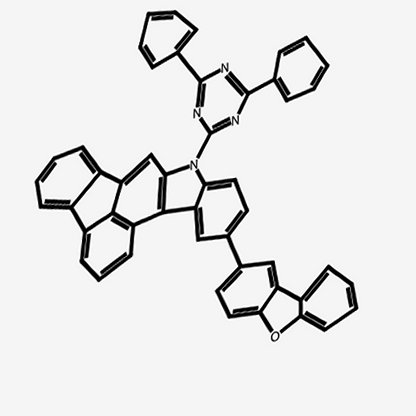 c1ccc(-c2nc(-c3ccccc3)nc(-n3c4ccc(-c5ccc6oc7ccccc7c6c5)cc4c4c5cccc6c5c(cc43)-c3ccccc3-6)n2)cc1